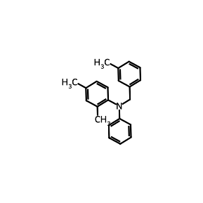 Cc1cccc(CN(c2ccccc2)c2ccc(C)cc2C)c1